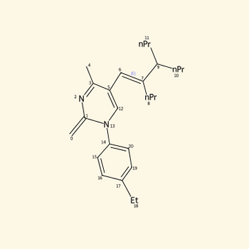 C=C1N=C(C)C(/C=C(\CCC)C(CCC)CCC)=CN1c1ccc(CC)cc1